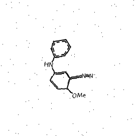 COC1C=CC(Nc2ccccc2)=CC1=[N+]=[N-]